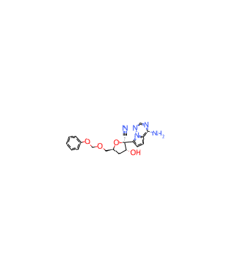 N#C[C@@]1(c2ccc3c(N)ncnn23)O[C@H](COCOc2ccccc2)C[C@H]1O